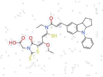 CCO/C(C=C(S)N(CC)C(=O)/C=C/c1ccc2c(c1)C1CCCC1N2c1ccccc1)=C1\SC(=S)N(CC(=O)O)C1=O